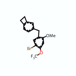 COc1cc(OC(F)(F)F)c(Br)cc1Cc1ccc2c(c1)CC2